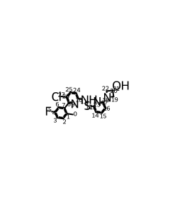 Cc1ccc(F)cc1-c1nc(NSc2cccc(N3CC(O)C3)n2)ccc1Cl